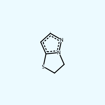 [c]1cc2n(n1)CCS2